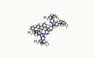 CC(C)(C)c1ccc2c(c1)c1cc(C(C)(C)C)ccc1n2-c1ccc2c3ccc(-n4c5ccc(C(C)(C)C)cc5c5cc(C(C)(C)C)ccc54)cc3n(-c3cccc4c3ccc3c4ccc4c5ccccc5ccc43)c2c1